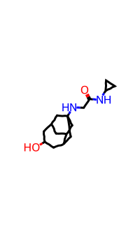 O=C(CNC12CC3CC(O)CC(C1)C(C3)C2)NC1CC1